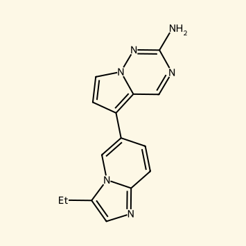 CCc1cnc2ccc(-c3ccn4nc(N)ncc34)cn12